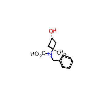 C[C@]1(N(Cc2ccccc2)C(=O)O)C[C@H](O)C1